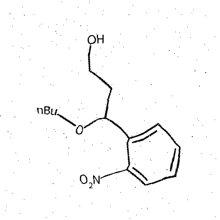 CCCCOC(CCO)c1ccccc1[N+](=O)[O-]